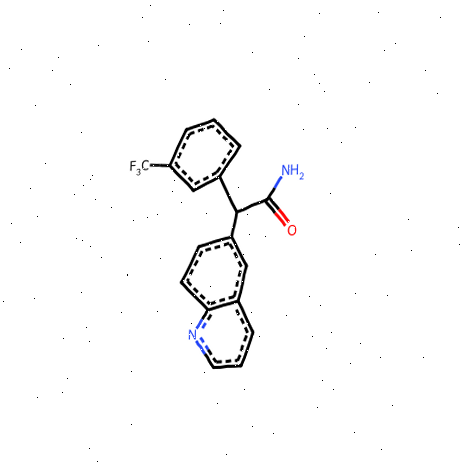 NC(=O)C(c1cccc(C(F)(F)F)c1)c1ccc2ncccc2c1